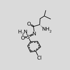 CC(C)C[C@H](N)C(=O)N=S(N)(=O)c1ccc(Cl)cc1